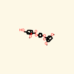 COC12CC3CC(CO)(C1)CC(C(=O)Oc1ccc(OC(=O)C45CC6CC(OC)(CC(OC)(C6)C4)C5)cc1)(C3)C2